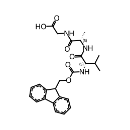 CC(C)[C@H](NC(=O)OCC1c2ccccc2-c2ccccc21)C(=O)N[C@@H](C)C(=O)NCC(=O)O